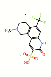 CN1CCc2c(C(F)(F)F)cc3[nH]c(=O)c(S(=O)(=O)O)cc3c2C1